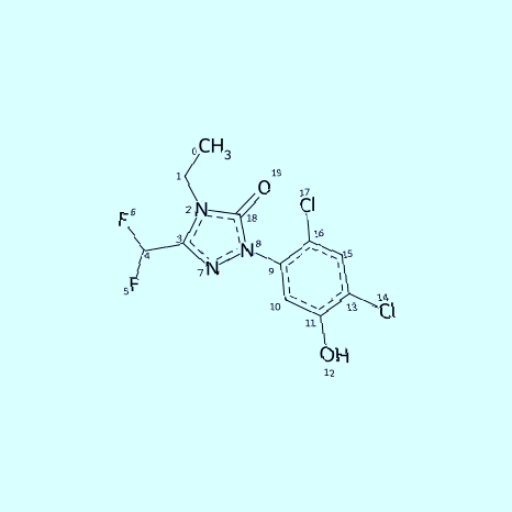 CCn1c(C(F)F)nn(-c2cc(O)c(Cl)cc2Cl)c1=O